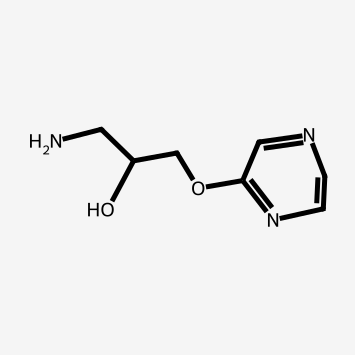 NCC(O)COc1cnccn1